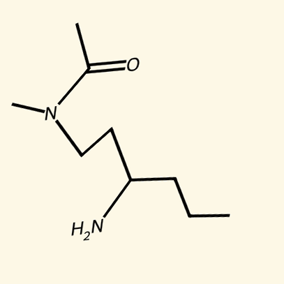 CCCC(N)CCN(C)C(C)=O